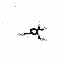 COCOc1ccc(C(=O)CO)c(OCOC)c1